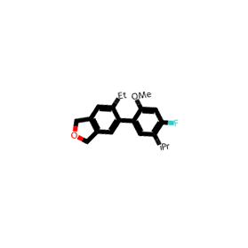 CCc1cc2c(cc1-c1cc(C(C)C)c(F)cc1OC)COC2